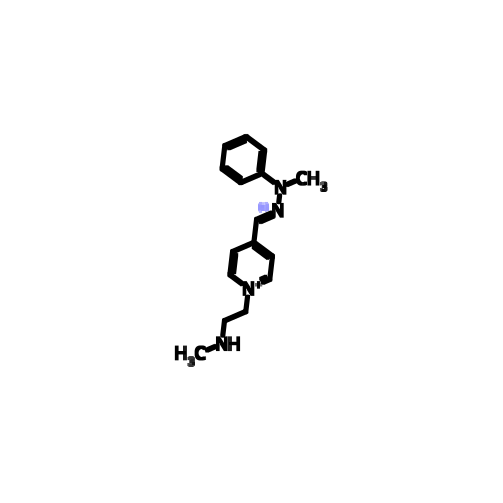 CNCC[n+]1ccc(/C=N/N(C)c2ccccc2)cc1